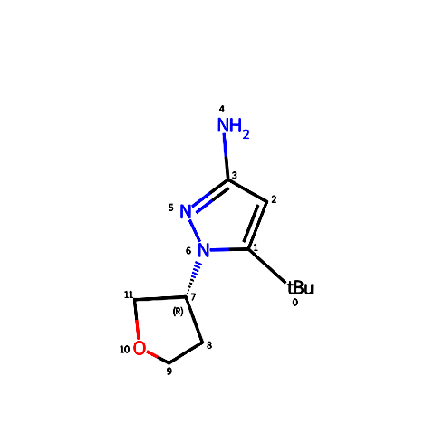 CC(C)(C)c1cc(N)nn1[C@@H]1CCOC1